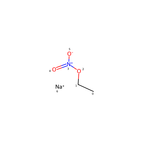 CCO[N+](=O)[O-].[Na+]